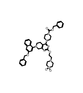 O=C(OCc1ccccc1)N1CCN(c2nc(OCCN3CCS(=O)(=O)CC3)nc3c2CCN(c2cc(OCc4ccccc4)cc4ccccc24)C3)CC1